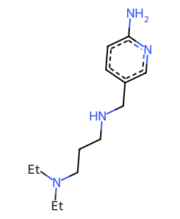 CCN(CC)CCCNCc1ccc(N)nc1